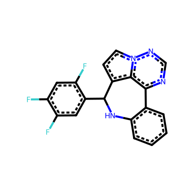 Fc1cc(F)c(C2Nc3ccccc3-c3ncnn4ccc2c34)cc1F